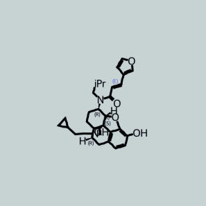 CC(C)CN(C(=O)/C=C/c1ccoc1)[C@@H]1CCC2(O)[C@H]3Cc4ccc(O)c5c4[C@@]2(CCN3CC2CC2)[C@H]1O5